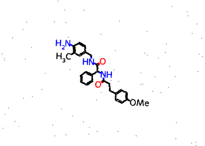 COc1ccc(CCC(=O)NC(C(=O)NCc2ccc(N)c(C)c2)c2ccccc2)cc1